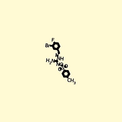 Cc1ccc(S(=O)(=O)ON=C(N)NN=Cc2ccc(F)c(Br)c2)cc1